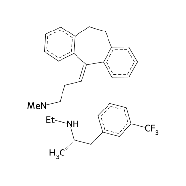 CCN[C@@H](C)Cc1cccc(C(F)(F)F)c1.CNCCC=C1c2ccccc2CCc2ccccc21